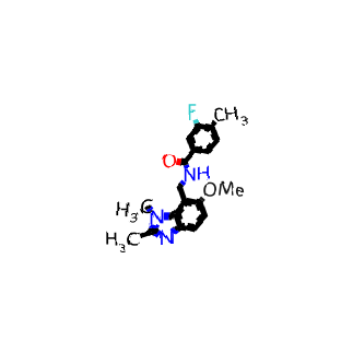 COc1ccc2nc(C)n(C)c2c1CNC(=O)c1ccc(C)c(F)c1